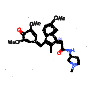 COC1=CC(=CC2=C(C)/C(=C\C(=O)NC3CCN(C)C3)c3cc(OC)ccc32)C=C(OC)C1=O